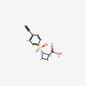 [C]#Cc1ccc(S(=O)(=O)N2CCC2C(=O)O)cc1